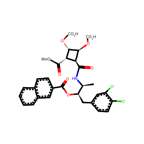 COC(=O)[C@@H]1[C@H](OC(=O)O)[C@@H](OC(=O)O)[C@H]1C(=O)N[C@@H](C)[C@@H](Cc1ccc(Cl)c(Cl)c1)OC(=O)c1ccc2ccccc2c1